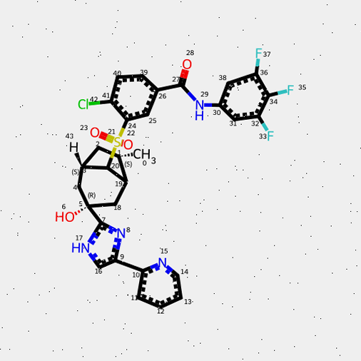 C[C@H]1C[C@H]2C[C@](O)(c3nc(-c4ccccn4)c[nH]3)CC1C2S(=O)(=O)c1cc(C(=O)Nc2cc(F)c(F)c(F)c2)ccc1Cl